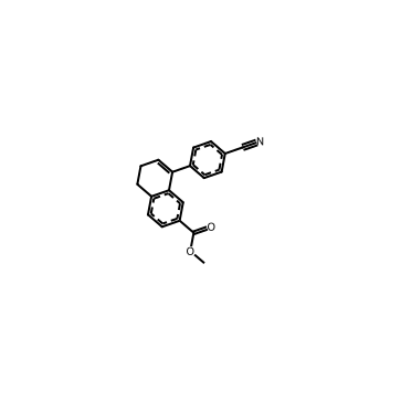 COC(=O)c1ccc2c(c1)C(c1ccc(C#N)cc1)=CCC2